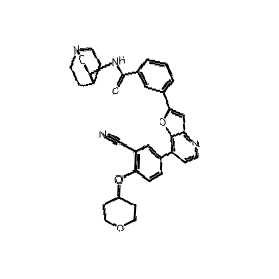 N#Cc1cc(-c2ccnc3cc(-c4cccc(C(=O)NC5CN6CCC5CC6)c4)oc23)ccc1OC1CCOCC1